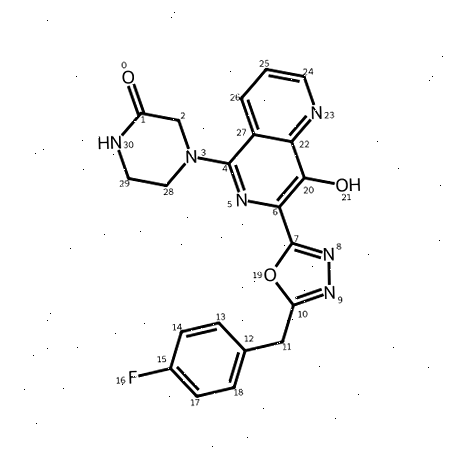 O=C1CN(c2nc(-c3nnc(Cc4ccc(F)cc4)o3)c(O)c3ncccc23)CCN1